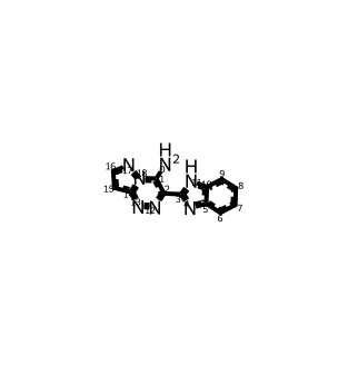 Nc1c(-c2nc3ccccc3[nH]2)nnc2ccnn12